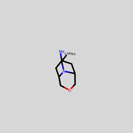 CCCCCCCN1C2COCC1CC(N)C2